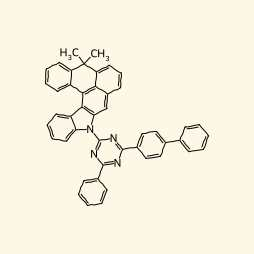 CC1(C)c2ccccc2-c2c3c1cccc3cc1c2c2ccccc2n1-c1nc(-c2ccccc2)nc(-c2ccc(-c3ccccc3)cc2)n1